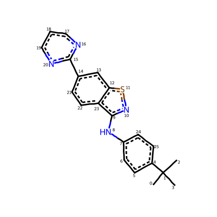 CC(C)(C)c1ccc(Nc2nsc3cc(-c4ncccn4)ccc23)cc1